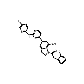 N#Cc1cc(-c2ccnc(Nc3ccc(F)cn3)n2)cc2c1N(C(=O)Cc1ccccc1F)CC2